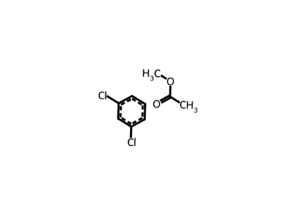 COC(C)=O.Clc1cccc(Cl)c1